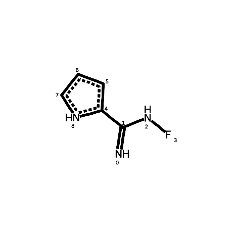 N=C(NF)c1ccc[nH]1